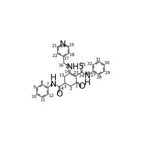 O=C1CC(C(=O)Nc2ccccc2)CC(NCc2ccncc2)=C1C(=S)Nc1ccccc1